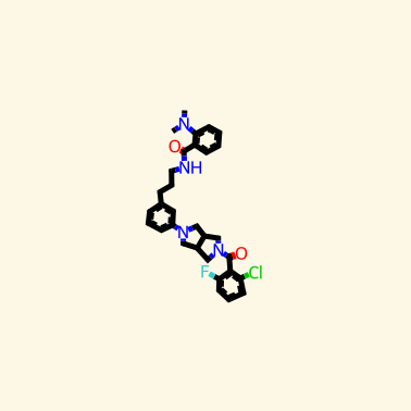 CN(C)c1ccccc1C(=O)NCCCc1cccc(N2CC3CN(C(=O)c4c(F)cccc4Cl)CC3C2)c1